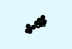 c1ccc(N(c2ccc(C3CCc4cc5oc6ccccc6c5c(-c5cccc6c5sc5ccccc56)c4-c4ccccc43)cc2)c2cccc3ccccc23)cc1